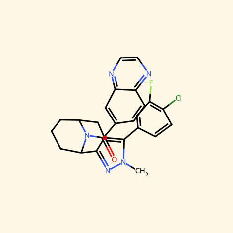 Cn1nc2c(c1-c1ccc(Cl)c(F)c1)CC1CCCC2N1C(=O)c1ccc2nccnc2c1